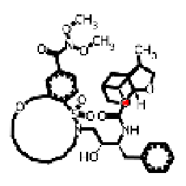 CON(OC)C(=O)c1ccc2c(c1)COCCCCCCCN(C[C@@H](O)[C@H](Cc1ccccc1)NC(=O)O[C@H]1C3CO[C@H]4OCC1(C)C4C3)S2(=O)=O